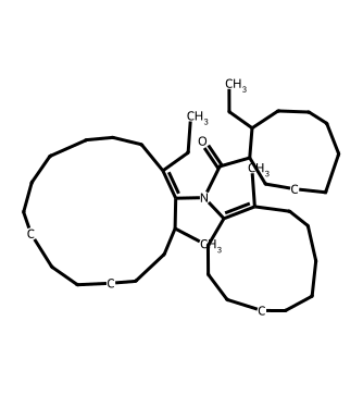 CC/C1=C(\N(C(=O)C2CCCCCCCC2CC)/C2=C(\C)CCCCCCCCC2)C(C)CCCCCCCCCCCC1